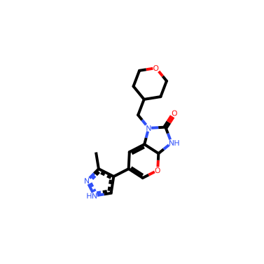 Cc1n[nH]cc1C1=COC2NC(=O)N(CC3CCOCC3)C2=C1